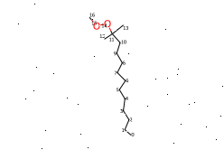 CCCCCCCCCCCC(C)(C)OOC